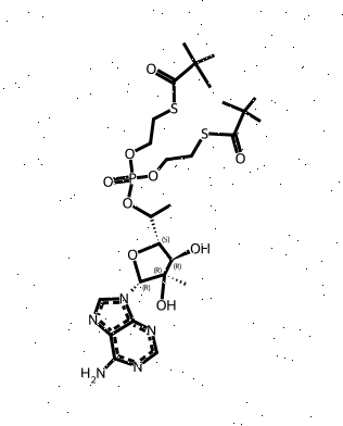 CC(OP(=O)(OCCSC(=O)C(C)(C)C)OCCSC(=O)C(C)(C)C)[C@H]1O[C@@H](n2cnc3c(N)ncnc32)[C@](C)(O)[C@@H]1O